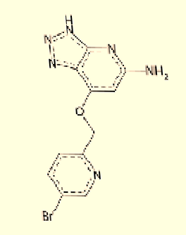 Nc1cc(OCc2ccc(Br)cn2)c2nn[nH]c2n1